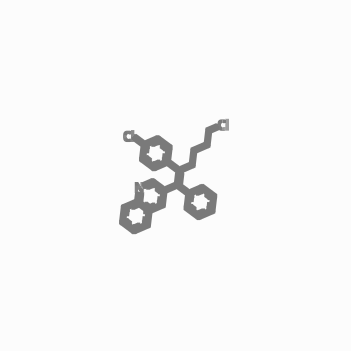 ClCCCC/C(=C(\c1ccccc1)c1cnc2ccccc2c1)c1ccc(Cl)cc1